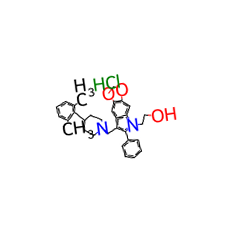 Cc1cccc(C)c1C1CCN(Cc2c(-c3ccccc3)n(CCO)c3cc4c(cc23)OCO4)CC1.Cl